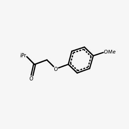 COc1ccc(OCC(=O)C(C)C)cc1